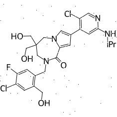 CC(C)Nc1cc(-c2cc3n(c2)CC(CO)(CO)CN(Cc2cc(F)c(Cl)cc2CO)C3=O)c(Cl)cn1